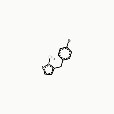 Cn1nccc1Cc1ccc(Br)cc1